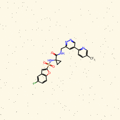 O=C(NCc1cc(-c2ccc(C(F)(F)F)cn2)cnn1)C1(NS(=O)(=O)c2cc3cc(F)ccc3o2)CC1